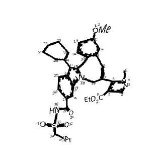 CCOC(=O)c1cnn(C)c1C1=Cc2cc(OC)ccc2-c2c(C3CCCCC3)c3ccc(C(=O)NS(=O)(=O)CC(C)C)cc3n2C1